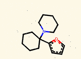 c1coc(C2(N3CCCCC3)CCCCC2)c1